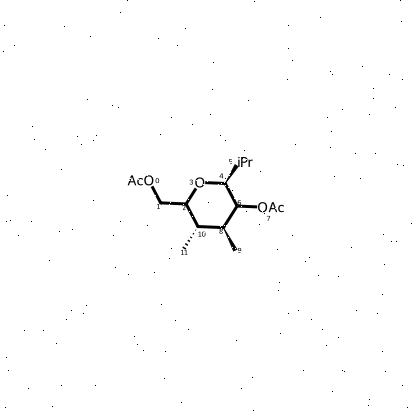 CC(=O)OCC1O[C@@H](C(C)C)C(OC(C)=O)[C@@H](C)[C@@H]1C